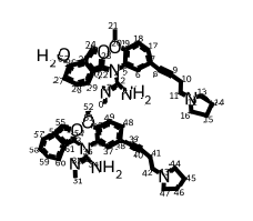 CN=C(N)N(c1cc(C#CCCN2CCCC2)ccc1OC)c1occ2ccccc12.CN=C(N)N(c1cc(C#CCCN2CCCC2)ccc1OC)c1occ2ccccc12.O